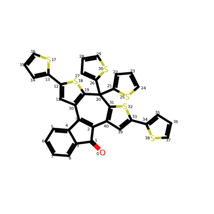 O=C1C2=C(c3ccccc31)c1cc(-c3cccs3)sc1C(c1cccs1)(c1cccs1)c1sc(-c3cccs3)cc12